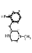 CN1CCNC(Cc2ccccc2F)C1